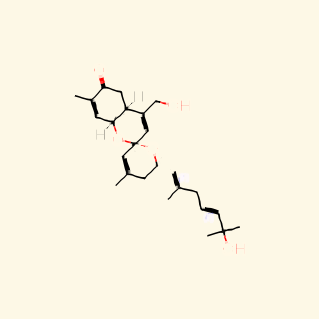 CC1=C[C@]2(C=C(CO)[C@H]3CC(=O)C(C)=C[C@H]3O2)O[C@H](/C=C(\C)C/C=C/C(C)(C)O)C1